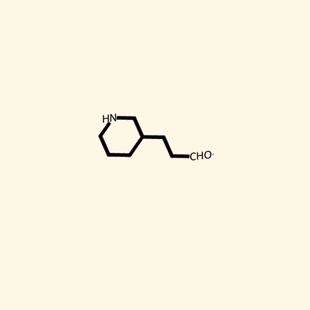 O=[C]CCC1CCCNC1